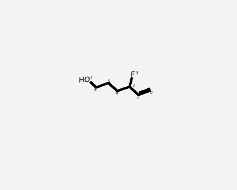 C=CC(F)CCCO